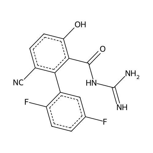 N#Cc1ccc(O)c(C(=O)NC(=N)N)c1-c1cc(F)ccc1F